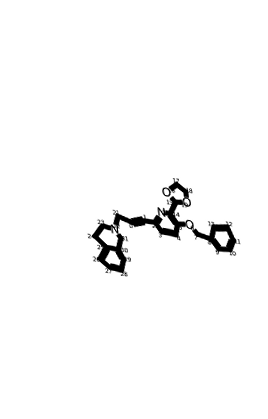 C(#Cc1ccc(OCc2ccccc2)c(C2OCCO2)n1)CN1CCc2ccccc2C1